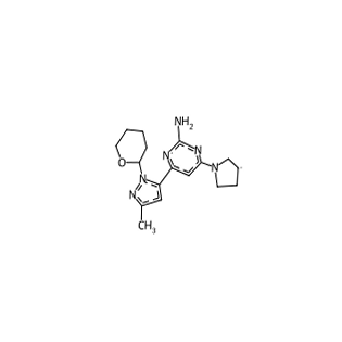 Cc1cc(-c2cc(N3C[CH]CC3)nc(N)n2)n(C2CCCCO2)n1